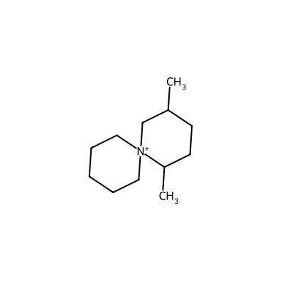 CC1CCC(C)[N+]2(CCCCC2)C1